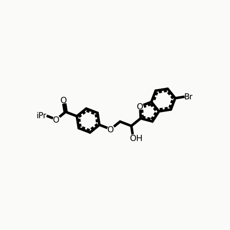 CC(C)OC(=O)c1ccc(OCC(O)c2cc3cc(Br)ccc3o2)cc1